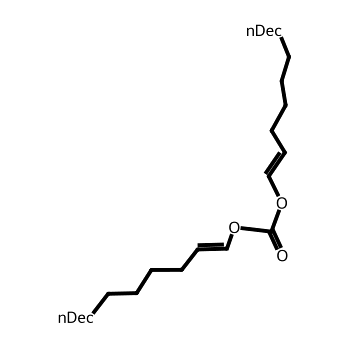 CCCCCCCCCCCCCCC=COC(=O)OC=CCCCCCCCCCCCCCC